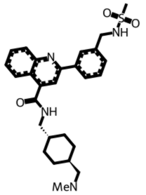 CNC[C@H]1CC[C@H](CNC(=O)c2cc(-c3cccc(CNS(C)(=O)=O)c3)nc3ccccc23)CC1